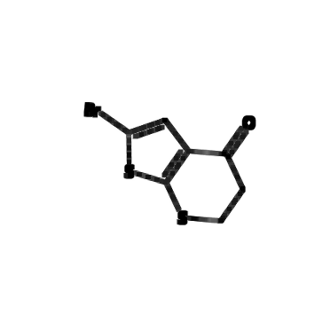 O=C1CCSc2sc(Br)cc21